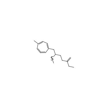 C=C(CC)CCC(CC1=CC=C(C)C=C=C1)SC